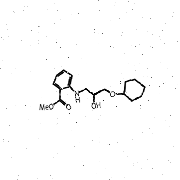 COC(=O)c1ccccc1NCC(O)COC1CCCCC1